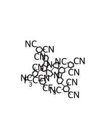 N#Cc1cc(C#N)c(-c2ccc3c(c2)c2cc(-c4c(C#N)cc(C#N)cc4C#N)ccc2n3-c2ccccc2-c2ccc(-c3cc(C(F)(F)F)cc(C(F)(F)F)c3)cc2-n2c3ccc(-c4c(C#N)cc(C#N)cc4C#N)cc3c3cc(-c4c(C#N)cc(C#N)cc4C#N)ccc32)c(C#N)c1